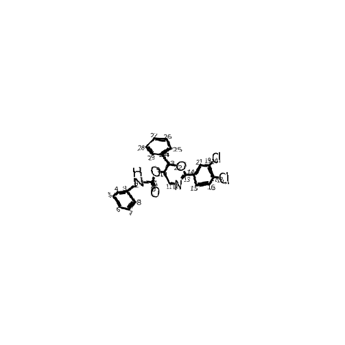 O=C(Nc1ccccc1)OC1CN=C(c2ccc(Cl)c(Cl)c2)OC1c1ccccc1